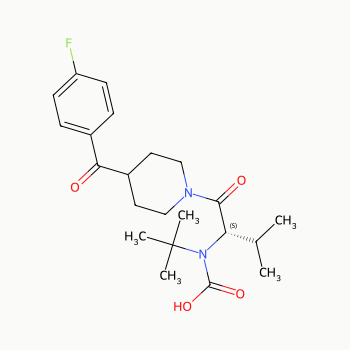 CC(C)[C@@H](C(=O)N1CCC(C(=O)c2ccc(F)cc2)CC1)N(C(=O)O)C(C)(C)C